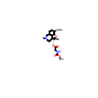 COc1ccc2c3c1O[C@H]1C[C@H](OC(=O)CNC(=O)OC(C)(C)C)C(C)[C@@]31CCN(C)C2